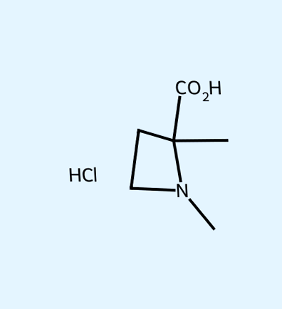 CN1CCC1(C)C(=O)O.Cl